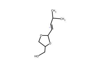 CC(C)/C=C/C1OCC(CO)O1